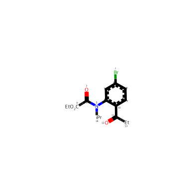 CCOC(=O)C(=O)N(c1cc(Br)ccc1C(=O)CC)C(C)C